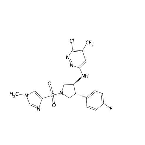 Cn1cnc(S(=O)(=O)N2C[C@@H](Nc3cc(C(F)(F)F)c(Cl)nn3)[C@H](c3ccc(F)cc3)C2)c1